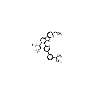 CC=C(C)C1CC=c2c(oc3nc(CC)ccc23)=C1c1ccc(-c2cccc(C(C)C)c2)cn1